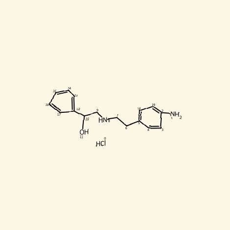 Cl.Nc1ccc(CCNCC(O)c2ccccc2)cc1